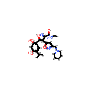 CCNC(=O)c1noc(-c2cc(C(C)C)c(O)cc2O)c1-c1cc(CN2CCCCC2)no1